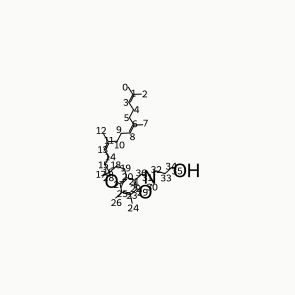 CC(C)=CCCC(C)=CCCC(C)=CCCC1(C)CCc2c3c(c(C)c(C)c2O1)OCN(CCCO)C3